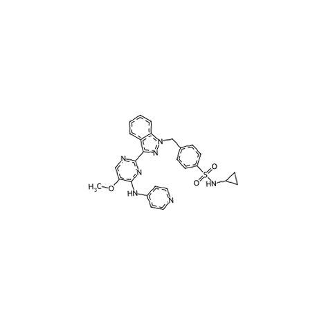 COc1cnc(-c2nn(Cc3ccc(S(=O)(=O)NC4CC4)cc3)c3ccccc23)nc1Nc1ccncc1